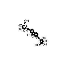 CC1(O)c2cc(C#C[C@H]3O[C@H](CO)[C@@H](O)[C@H](O)[C@@H]3O)ccc2-c2ccc(C#C[C@H]3O[C@H](CCO)[C@@H](O)[C@H](O)[C@@H]3O)cc21